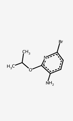 CC(C)Oc1nc(Br)ccc1N